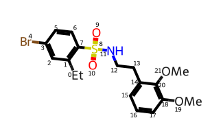 CCc1cc(Br)ccc1S(=O)(=O)NCCc1cccc(OC)c1OC